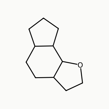 C1CC2CCC3CCOC3C2C1